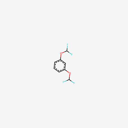 FC(F)Oc1c[c]cc(OC(F)F)c1